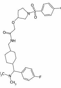 CN(C)C(c1ccc(F)cc1)C1CCC(CNC(=O)COC2CCN(S(=O)(=O)c3ccc(Cl)cc3)C2)CC1